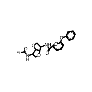 CCC(=O)NC1COC2C(NC(=O)c3cccc(Oc4ccccc4)c3)COC12